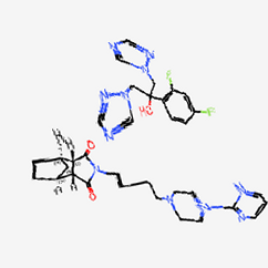 O=C1[C@@H]2[C@H]3CC[C@H](C3)[C@@H]2C(=O)N1CCCCN1CCN(c2ncccn2)CC1.OC(Cn1cncn1)(Cn1cncn1)c1ccc(F)cc1F